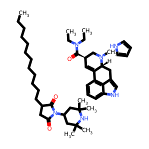 CCCCCCCCCCCCC1CC(=O)N(C2CC(C)(C)NC(C)(C)C2)C1=O.CCN(CC)C(=O)[C@@H]1C=C2c3cccc4[nH]cc(c34)C[C@H]2N(C)C1.c1cc[nH]c1